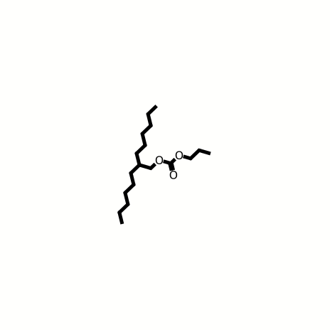 CCCCCCC(CCCCCC)COC(=O)OCCC